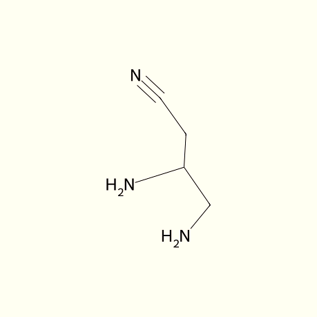 N#CCC(N)CN